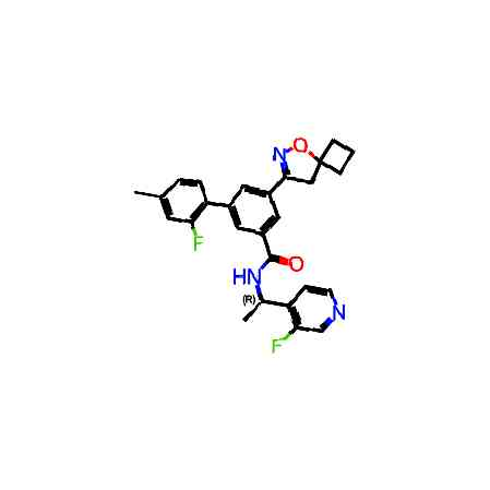 Cc1ccc(-c2cc(C(=O)N[C@H](C)c3ccncc3F)cc(C3=NOC4(CCC4)C3)c2)c(F)c1